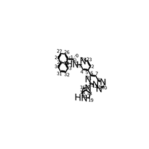 C[C@H](Nc1cc(-c2cc3ncnn3c(N3CC4CC3CN4)n2)ccn1)c1cccc2ccccc12